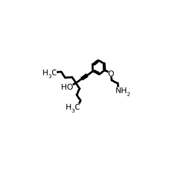 CCCCC(O)(C#Cc1cccc(OCCN)c1)CCCC